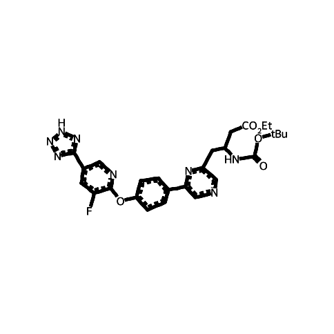 CCOC(=O)CC(Cc1cncc(-c2ccc(Oc3ncc(-c4nn[nH]n4)cc3F)cc2)n1)NC(=O)OC(C)(C)C